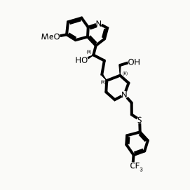 COc1ccc2nccc([C@H](O)CC[C@@H]3CCN(CCSc4ccc(C(F)(F)F)cc4)C[C@@H]3CO)c2c1